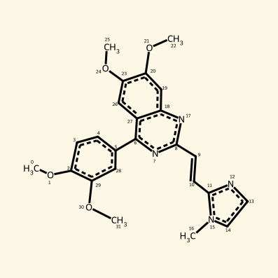 COc1ccc(-c2nc(C=Cc3nccn3C)nc3cc(OC)c(OC)cc23)cc1OC